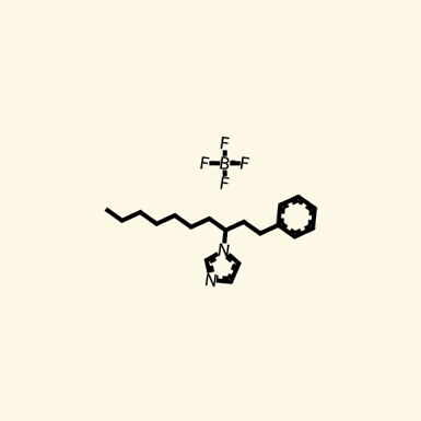 CCCCCCCC(CCc1ccccc1)n1ccnc1.F[B-](F)(F)F